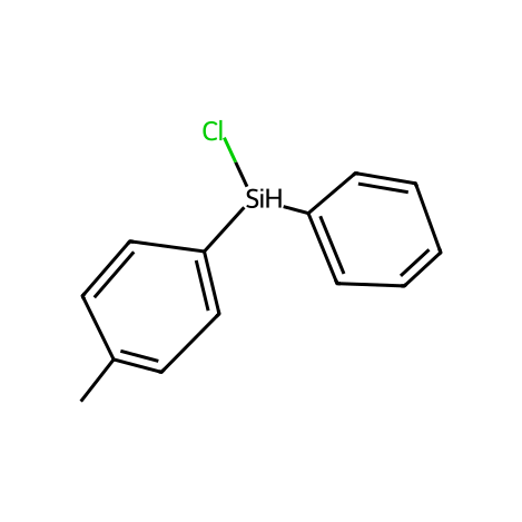 Cc1ccc([SiH](Cl)c2ccccc2)cc1